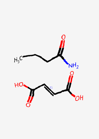 CCCC(N)=O.O=C(O)/C=C/C(=O)O